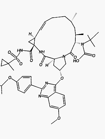 COc1ccc2c(O[C@@H]3C[C@H]4C(=O)N[C@]5(C(=O)NS(=O)(=O)C6(C)CC6)C[C@H]5C=CCC[C@H](C)C[C@@H](C)[C@H](N(C(=O)O)C(C)(C)C)C(=O)N4C3)nc(-c3ccc(OC(C)C)cc3)nc2c1